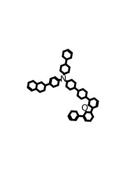 C1#CCCC(C2=CCCC3C2OC2C3C=CCC2C2CCC(C3CCC(N(C4=CC=C(C5CCC6C=CCCC6C5)CC4)C4CCC(C5CC=CCC5)CC4)CC3)CC2)=C1